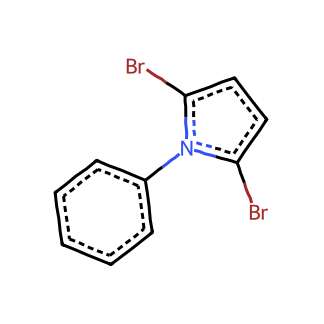 Brc1ccc(Br)n1-c1ccccc1